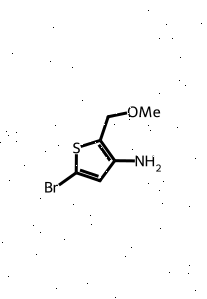 COCc1sc(Br)cc1N